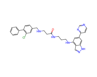 O=C(CCNCc1ccc(-c2ccccc2)c(Cl)c1)NCCCNc1cc(-c2ccncn2)cc2[nH]ncc12